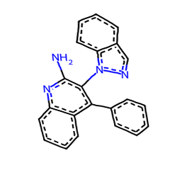 Nc1nc2ccccc2c(-c2ccccc2)c1-n1ncc2ccccc21